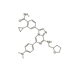 CN(C)c1ccc(-c2cn3c(-c4ccc(C(N)=O)c(C5CC5)c4)cnc3c(NCC3CCCO3)n2)cc1